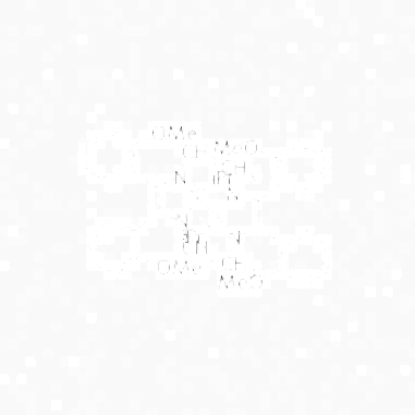 COc1ccccc1C1=C(c2ccccc2OC)N(C)C(C(C)C)(C2(C(C)C)N(C)C(c3ccccc3OC)=C(c3ccccc3OC)N2C)N1C